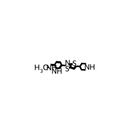 CN/C=C1/C=CC(c2nc3sc(C4CCNCC4)cc3s2)=CC1=N